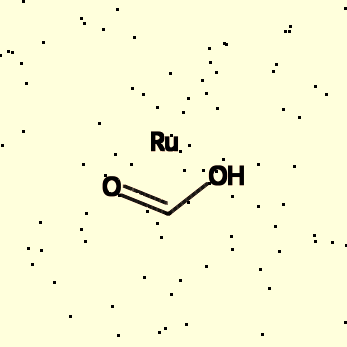 O=CO.[Ru]